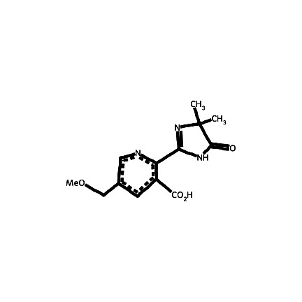 COCc1cnc(C2=NC(C)(C)C(=O)N2)c(C(=O)O)c1